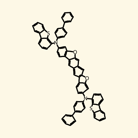 c1ccc(-c2ccc(N(c3ccc4c(c3)oc3cc5cc6oc7cc(N(c8ccc(-c9ccccc9)cc8)c8cccc9c8sc8ccccc89)ccc7c6cc5cc34)c3cccc4c3sc3ccccc34)cc2)cc1